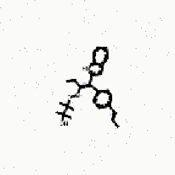 C/C=C/c1ccc(/C(=C(\BOC(C)(C)C(C)(C)O)CC)c2cc3ccccc3[nH]2)cc1